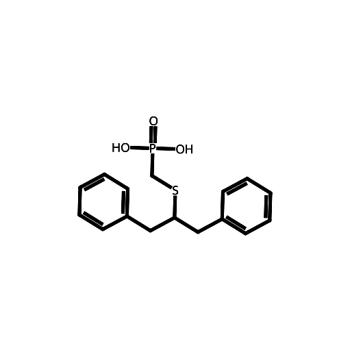 O=P(O)(O)CSC(Cc1ccccc1)Cc1ccccc1